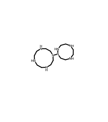 C1CNCCN(N2CCNCCNCCN2)CCNCCN1